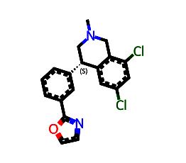 CN1Cc2c(Cl)cc(Cl)cc2[C@H](c2cccc(-c3ncco3)c2)C1